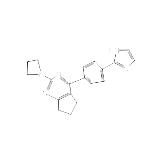 c1c[nH]c(-c2ccc(-c3nc(N4CCC4)nc4c3CCC4)cc2)n1